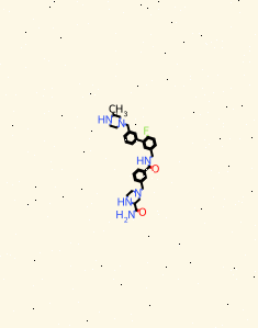 C[C@H]1CN(Cc2cccc(-c3cc(CNC(=O)c4cccc(CN5CCNC(C(N)=O)C5)c4)ccc3F)c2)CCN1